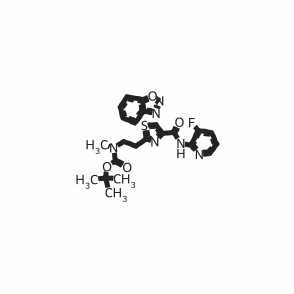 CN(CCc1nc(C(=O)Nc2ncccc2F)cs1)C(=O)OC(C)(C)C.c1ccc2onnc2c1